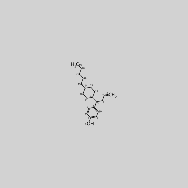 C=CCC(c1ccc(O)cc1)[C@H]1CC[C@H](CCCCC)CC1